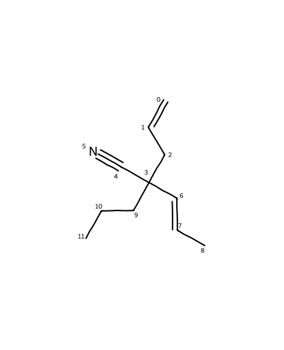 C=CCC(C#N)(/C=C/C)CCC